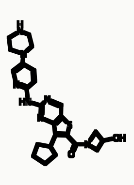 O=C(c1sc2cnc(Nc3ccc(N4CCNCC4)cn3)nc2c1C1CCCC1)N1CC(O)C1